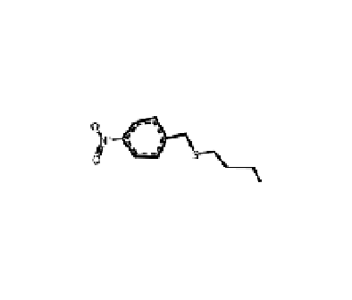 CCCCSCc1ccc([N+](=O)[O-])cc1